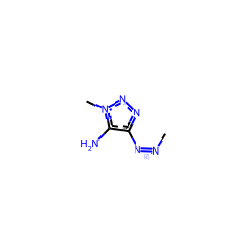 C/N=N\c1nnn(C)c1N